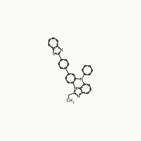 CCc1nc2cccc3c2n1-c1ccc(-c2ccc(-c4nc5ccccc5s4)cc2)cc1N3c1ccccc1